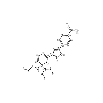 CCCOC1(N(CC)CC)C=CC=C(c2cc(-c3ccc(C(=O)O)cc3)on2)C1